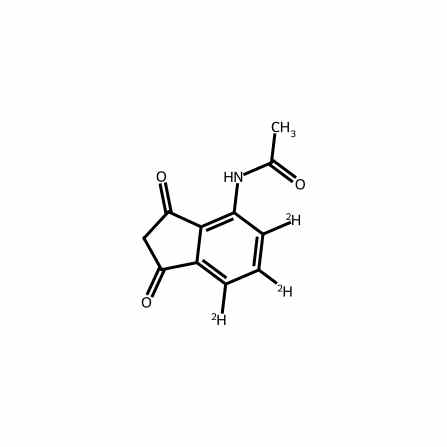 [2H]c1c([2H])c(NC(C)=O)c2c(c1[2H])C(=O)CC2=O